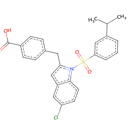 CC(C)c1cccc(S(=O)(=O)n2c(Cc3ccc(C(=O)O)cc3)cc3cc(Cl)ccc32)c1